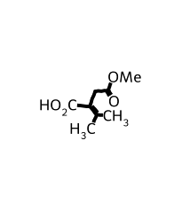 COC(=O)CC(C(=O)O)=C(C)C